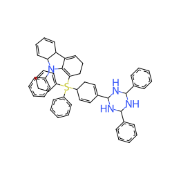 C1=CCCC(S(C2=C3C(=CCC2)C2C=CC=CC2N3c2ccccc2)(c2ccccc2)C2C=CC(C3NC(c4ccccc4)NC(c4ccccc4)N3)=CC2)=C1